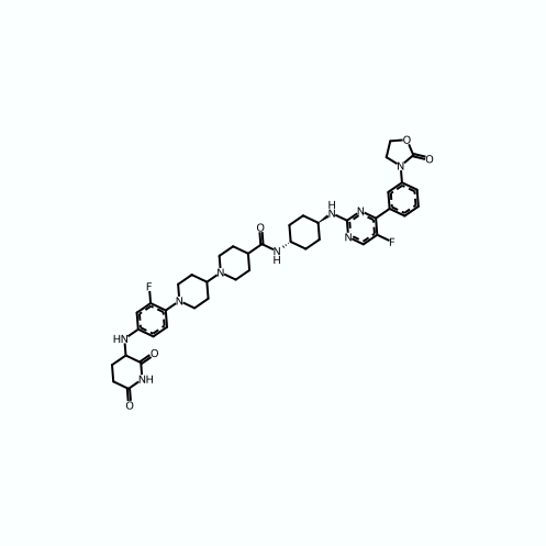 O=C1CCC(Nc2ccc(N3CCC(N4CCC(C(=O)N[C@H]5CC[C@H](Nc6ncc(F)c(-c7cccc(N8CCOC8=O)c7)n6)CC5)CC4)CC3)c(F)c2)C(=O)N1